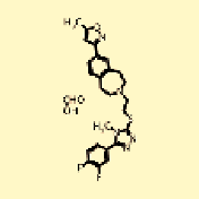 Cc1cc(-c2ccc3c(c2)CCN(CCSc2nnc(-c4ccc(F)c(F)c4)n2C)CC3)no1.O=CO